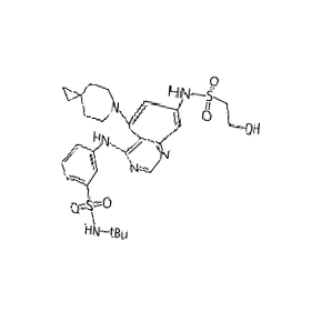 CC(C)(C)NS(=O)(=O)c1cccc(Nc2ncnc3cc(NS(=O)(=O)CCO)cc(N4CCC5(CC4)CC5)c23)c1